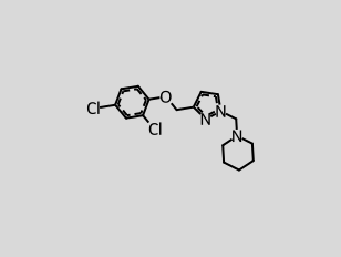 Clc1ccc(OCc2ccn(CN3CCCCC3)n2)c(Cl)c1